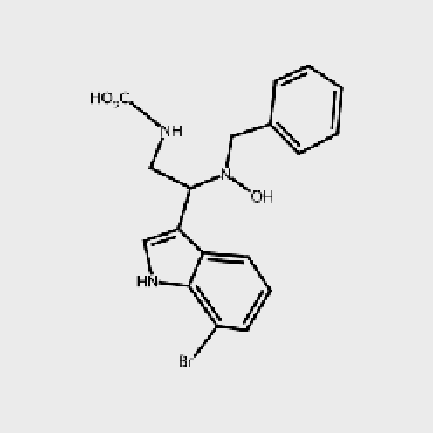 O=C(O)NCC(c1c[nH]c2c(Br)cccc12)N(O)Cc1ccccc1